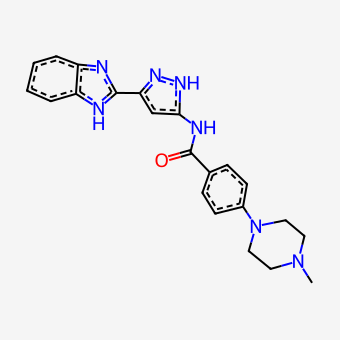 CN1CCN(c2ccc(C(=O)Nc3cc(-c4nc5ccccc5[nH]4)n[nH]3)cc2)CC1